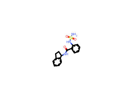 NS(=O)(=O)Nc1ccccc1C(=O)NC1CCc2ccccc21